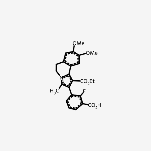 CCOC(=O)c1c(-c2cccc(C(=O)O)c2F)c(C)n2c1-c1cc(OC)c(OC)cc1CC2